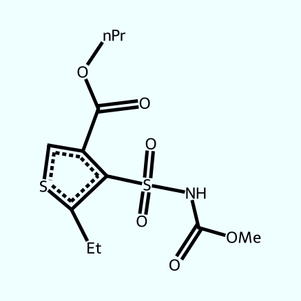 CCCOC(=O)c1csc(CC)c1S(=O)(=O)NC(=O)OC